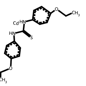 CCOc1ccc(NC(=S)Nc2ccc(OCC)cc2)cc1.[Cd]